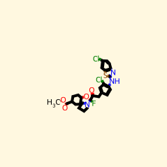 COC(=O)C1CCC(OC(F)(C(=O)Cc2ccc(Nc3nc4ccc(Cl)cc4s3)c(Cl)c2)N2CCCC2)CC1